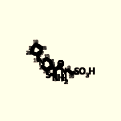 Nc1sc2c(c1C(=O)NCCS(=O)(=O)O)CCN(Cc1ccccc1)C2